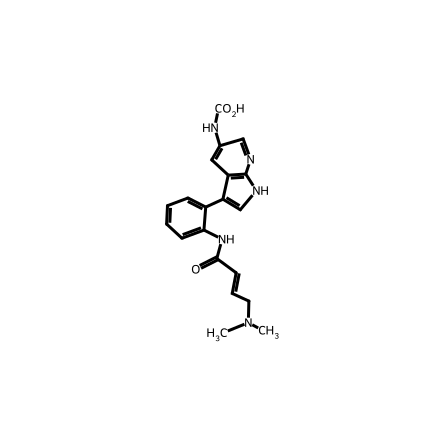 CN(C)CC=CC(=O)Nc1ccccc1-c1c[nH]c2ncc(NC(=O)O)cc12